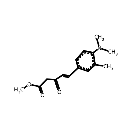 COC(=O)CC(=O)/C=C/c1ccc(N(C)C)c(C)c1